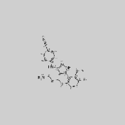 COc1c(F)ccc(OCCCN)c1-c1cc(Nc2cnc(C#N)cn2)n[nH]1